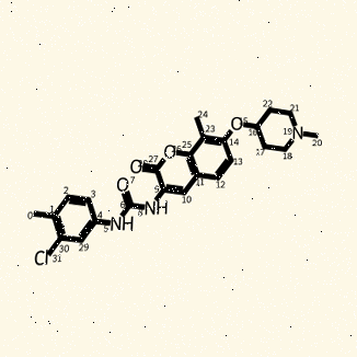 Cc1ccc(NC(=O)Nc2cc3ccc(OC4CCN(C)CC4)c(C)c3oc2=O)cc1Cl